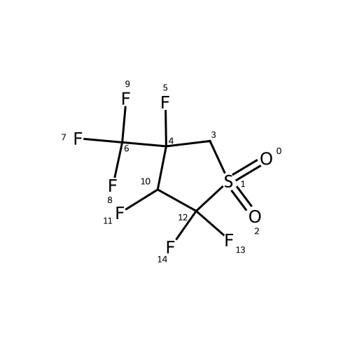 O=S1(=O)CC(F)(C(F)(F)F)C(F)C1(F)F